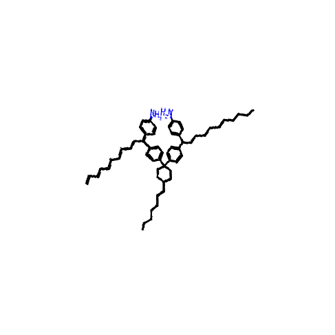 CCCCCCCCCCC(c1ccc(N)cc1)c1ccc(C2(c3ccc(C(CCCCCCCCCC)c4ccc(N)cc4)cc3)CCC(CCCCCCC)CC2)cc1